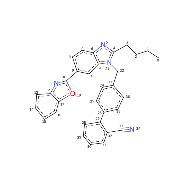 CCCCc1nc2ccc(-c3nc4ccccc4o3)cc2n1Cc1ccc(-c2ccccc2C#N)cc1